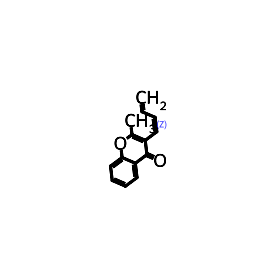 C=C/C=C\c1c(C)oc2ccccc2c1=O